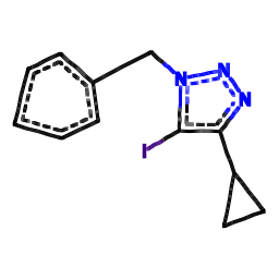 Ic1c(C2CC2)nnn1Cc1ccccc1